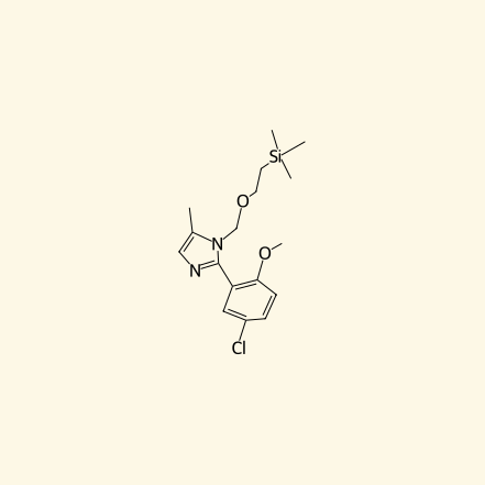 COc1ccc(Cl)cc1-c1ncc(C)n1COCC[Si](C)(C)C